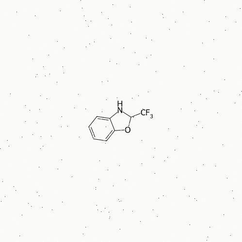 FC(F)(F)[C]1Nc2ccccc2O1